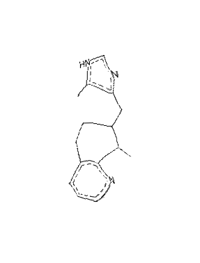 Cc1[nH]cnc1CC1CCc2cccnc2C1C